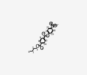 CCCCOC(=O)c1ccc(C(=O)Oc2ccc([N+](=O)[O-])cc2)cc1